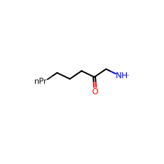 CCCCCCC(=O)C[NH]